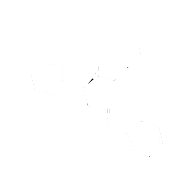 CCC(C)(C)C(=O)N[C@@H](C(=O)NCc1ccccc1)c1ccccc1